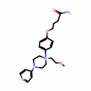 COCC[N+]1(c2ccc(OCCCC(N)=O)cc2)CCN(c2ccncc2)CC1